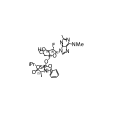 CNc1nc(C)nc2c1ncn2[C@@H]1O[C@](CCl)(CO[P@](=S)(N[C@@H](C)C(=O)OC(C)C)Oc2ccccc2)[C@@H](O)[C@H]1F